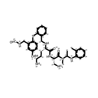 COc1ccc(Sc2ccccc2CN[C@@H](CCCN)C(=O)N[C@@H](CN)C(=O)N(C)C(C)Nc2ccccc2C)c(CNC=O)c1